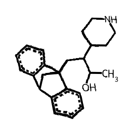 CC(O)C(CC12CC(c3ccccc31)c1ccccc12)C1CCNCC1